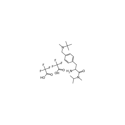 CC(C)N(C)C(=O)C(N)Cc1ccc(CN(C)C(C)(C)C)cc1.O=C(O)C(F)(F)F.O=C(O)C(F)(F)F